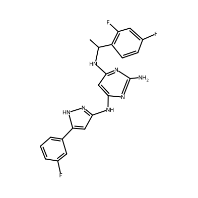 CC(Nc1cc(Nc2cc(-c3cccc(F)c3)[nH]n2)nc(N)n1)c1ccc(F)cc1F